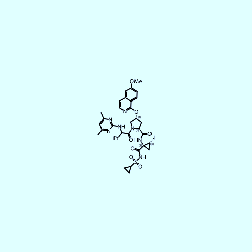 COc1ccc2c(O[C@@H]3C[C@@H](C(=O)N[C@]4(C(=O)NS(=O)(=O)C5CC5)C[C@H]4I)N(C(=O)C(Nc4nc(C)cc(C)n4)C(C)C)C3)nccc2c1